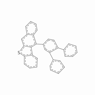 c1ccc(-c2ccc(-c3c4ccccc4cc4sc5ccccc5c34)cc2-c2ccccc2)cc1